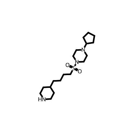 O=S(=O)(CCCCC1CCNCC1)N1CCN(C2CCCC2)CC1